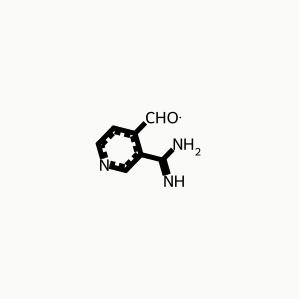 N=C(N)c1cnccc1[C]=O